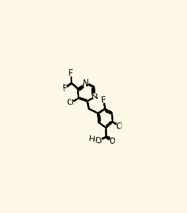 O=C(O)c1cc(Cc2ncnc(C(F)F)c2Cl)c(F)cc1Cl